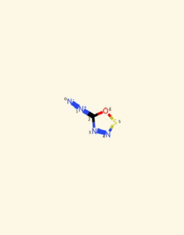 [N-]=[N+]=c1nnso1